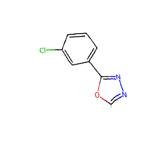 Clc1cccc(-c2nn[c]o2)c1